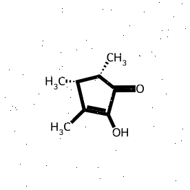 CC1=C(O)C(=O)[C@@H](C)[C@H]1C